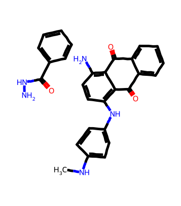 CNc1ccc(Nc2ccc(N)c3c2C(=O)c2ccccc2C3=O)cc1.NNC(=O)c1ccccc1